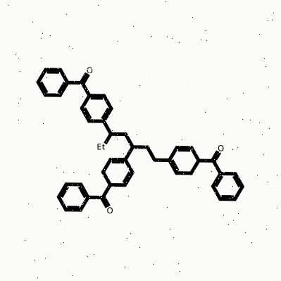 CCC(CC(CCC1=CCC(C(=O)c2ccccc2)C=C1)C1=CCC(C(=O)c2ccccc2)C=C1)c1ccc(C(=O)c2ccccc2)cc1